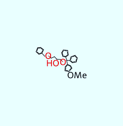 COc1ccc(C(OC[C@@H](O)CCOCc2ccccc2)(c2ccccc2)c2ccccc2)cc1